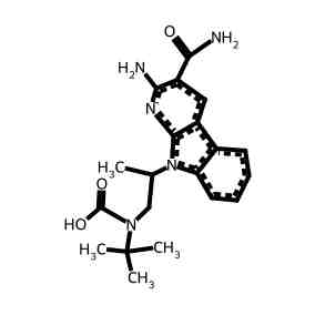 CC(CN(C(=O)O)C(C)(C)C)n1c2ccccc2c2cc(C(N)=O)c(N)nc21